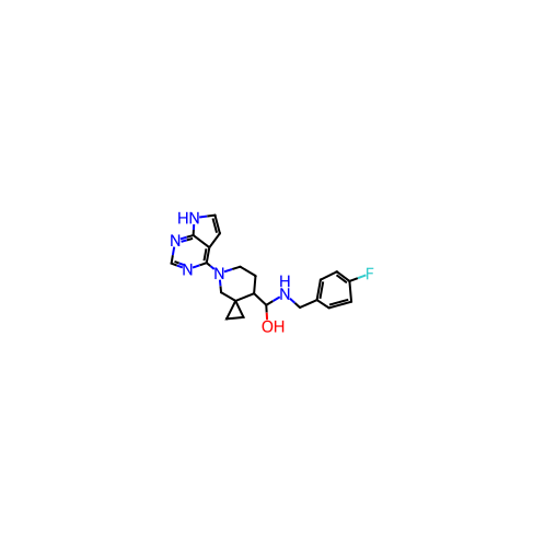 OC(NCc1ccc(F)cc1)C1CCN(c2ncnc3[nH]ccc23)CC12CC2